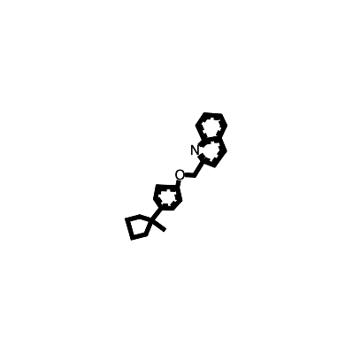 CC1(c2ccc(OCc3ccc4ccccc4n3)cc2)CCCC1